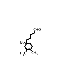 CCC1(CCCCC=O)CCC(C)=C(C)C1